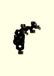 CC(C)C(O)/C=C/[C@@H](C)[C@H]1CC[C@H]2[C@@H]3CC=C4C[C@@H](O)CC[C@]4(C)[C@H]3CC[C@]12C